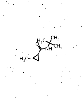 C[C@H]1C[C@@H]1C(=O)NC(C)(C)C